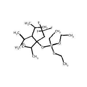 CCO[Si](CC)(OCC)OC(CC(F)(F)F)(C(C)C)C(C(C)C)C(C)C